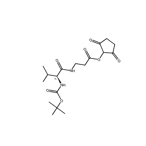 CC(C)[C@H](NC(=O)OC(C)(C)C)C(=O)NCCC(=O)OC1C(=O)CCC1=O